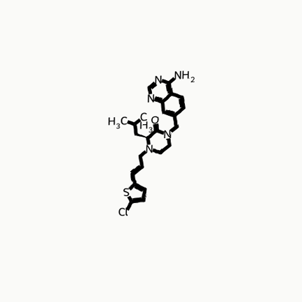 CC(C)C[C@H]1C(=O)N(Cc2ccc3c(N)ncnc3c2)CCN1CC=Cc1ccc(Cl)s1